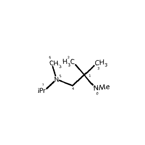 CNC(C)(C)CN(C)C(C)C